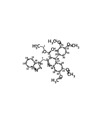 CCOC(=O)c1c(Cn2cnc3ccccc32)nc2cc(OC)c(OC)cc2c1-c1ccc(OC)c(OC)c1